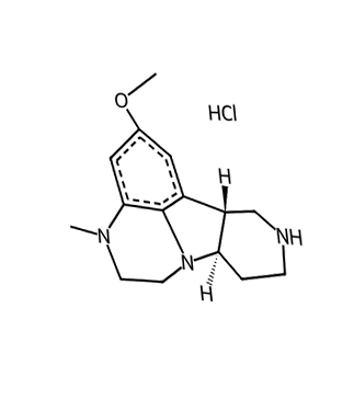 COc1cc2c3c(c1)N(C)CCN3[C@@H]1CCNC[C@@H]21.Cl